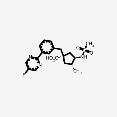 C[C@@H]1C[C@](Cc2cccc(-c3ncc(F)cn3)c2)(C(=O)O)C[C@H]1NS(C)(=O)=O